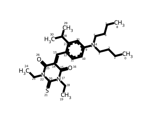 CCCCN(CCCC)c1ccc(C=C2C(=O)N(CC)C(=S)N(CC)C2=O)c(C(C)C)c1